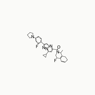 CC1C2=C(C=CCC2)C(F)CN1C(=O)c1cc(C2CC2)n2nc(-c3ccc(N4CCCC4)cc3F)cc2n1